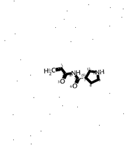 C=CC(=O)NC(=O)[C@H]1CCNC1